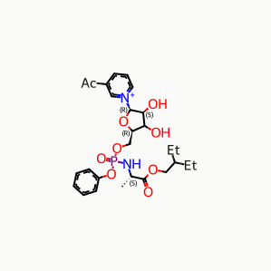 CCC(CC)COC(=O)[C@H](C)NP(=O)(OC[C@H]1O[C@@H]([n+]2cccc(C(C)=O)c2)[C@@H](O)C1O)Oc1ccccc1